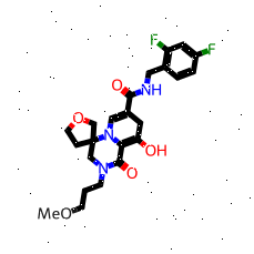 COCCCN1CC2(CCOC2)N2C=C(C(=O)NCc3ccc(F)cc3F)CC(O)=C2C1=O